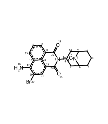 CN1C2CCCC1CC(N1C(=O)c3cccc4c(N)c(Br)cc(c34)C1=O)C2